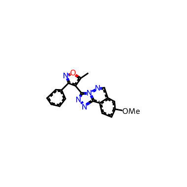 COc1ccc2c(cnn3c(-c4c(-c5ccccc5)noc4C)nnc23)c1